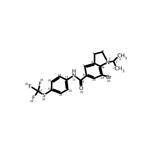 CC(C)N1CCc2cc(C(=O)Nc3ccc(SC(F)(F)F)cc3)cc(Br)c21